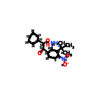 CC(C)(C)c1c([N+](=O)[O-])ccc(C(=O)C(O)c2ccccc2)c1N